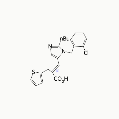 CCCCc1ncc(/C=C(\Cc2cccs2)C(=O)O)n1Cc1ccccc1Cl